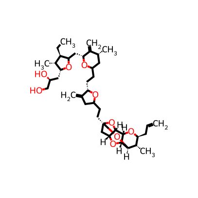 C=CC[C@@H]1O[C@@H]2[C@H]3O[C@@H]4C[C@@](CCC5CC(=C)[C@H](CCC6C[C@@H](C)C(=C)[C@@H](CC7O[C@H](C[C@H](O)CO)[C@H](C)[C@H]7CC)O6)O5)(O[C@H]24)O[C@H]3[C@H]1C